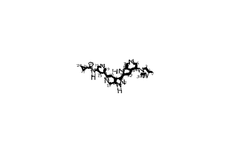 Cc1cn(-c2cncc3[nH]c(-c4n[nH]c5cnc(-c6cncc(NC(=O)C7CC7)c6)cc45)cc23)cn1